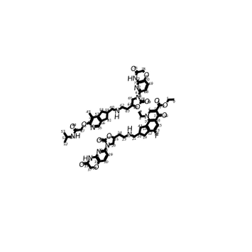 CCOC(=O)c1cn(CC)c2c3c(c(F)cc2c1=O)CC(CNCCC1CN(c2ccc4c(n2)NC(=O)CO4)C(=O)O1)C3.Cc1c(OCC(=O)NC(C)C)ncc2c1CC(CNCCC1CN(c3ccc4c(n3)NC(=O)CO4)C(=O)O1)C2